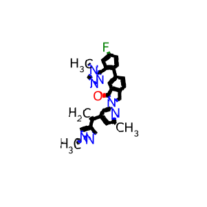 C=C(c1cc(C)nc(N2Cc3ccc(-c4ccc(F)cc4-c4nncn4C)cc3C2=O)c1)c1cnn(C)c1